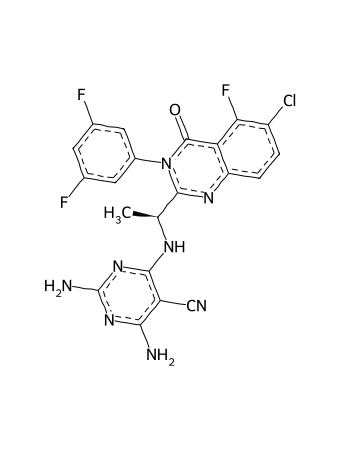 C[C@H](Nc1nc(N)nc(N)c1C#N)c1nc2ccc(Cl)c(F)c2c(=O)n1-c1cc(F)cc(F)c1